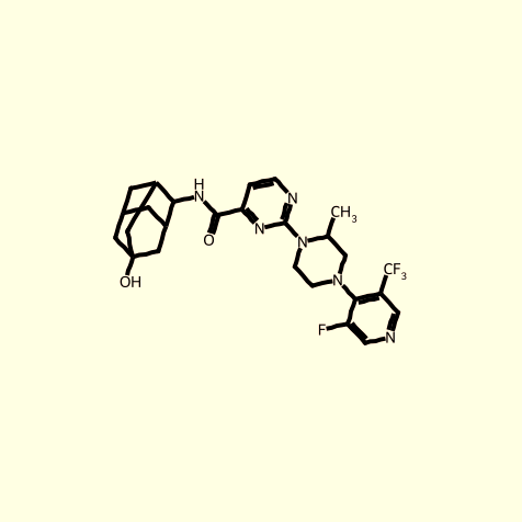 CC1CN(c2c(F)cncc2C(F)(F)F)CCN1c1nccc(C(=O)NC2C3CC4CC2CC(O)(C4)C3)n1